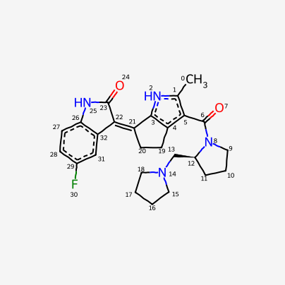 Cc1[nH]c2c(c1C(=O)N1CCC[C@H]1CN1CCCC1)CC/C2=C1/C(=O)Nc2ccc(F)cc21